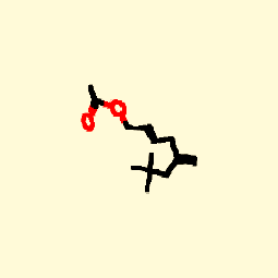 C=C(CC=CCOC(C)=O)CC(C)(C)C